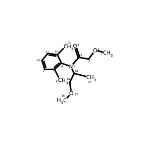 COCC(=O)N(c1c(C)cccc1C)C(C)COC